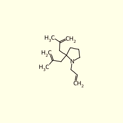 C=CCN1CCCC1(CC(=C)C)CC(=C)C